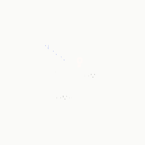 COC(=O)c1cc(OC)ccc1N=[N+]=[N-]